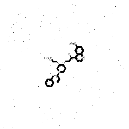 C=C[C@H](Cc1ccccc1)N1CC[C@@H](CC[C@@H](F)c2ccnc3ccc(OC)cc23)[C@@H](CCC(=O)O)C1